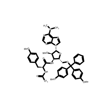 COc1ccc(C[C@H](NC(=O)C(F)(F)F)C(=O)N[C@H]2[C@@H](OC)[C@H](n3cnc4c(N(C)C)ncnc43)O[C@@H]2COC(c2ccccc2)(c2ccc(OC)cc2)c2ccc(OC)cc2)cc1